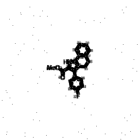 COC(=O)c1[nH]c2c(c1-c1ccc(F)cc1)CCc1ccccc1-2